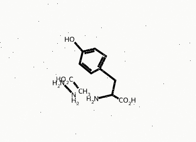 CC(=O)O.NC(Cc1ccc(O)cc1)C(=O)O.NN